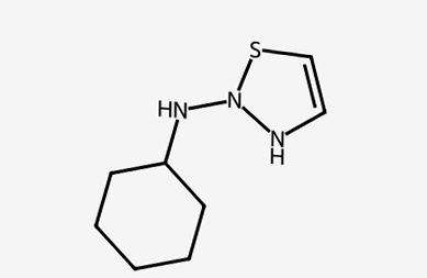 C1=CSN(NC2CCCCC2)N1